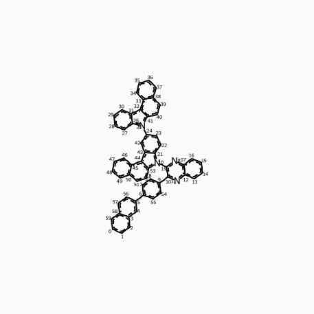 c1ccc2cc(-c3ccc(-c4nc5ccccc5nc4-n4c5ccc(-n6c7ccccc7c7c8ccccc8ccc76)cc5c5c6ccccc6ccc54)cc3)ccc2c1